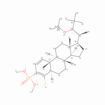 COP(=O)(OC)C1=C(F)[C@@H]2CC[C@@H]3[C@H](CC[C@]4(C)[C@@H]([C@H](C)C(O[SiH](C)C)C(C)(C)C)CC[C@@H]34)[C@@]2(C)C=C1